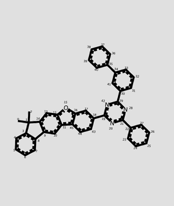 CC1(C)c2ccccc2-c2cc3c(cc21)oc1cc(-c2nc(-c4ccccc4)nc(-c4cccc(-c5ccccc5)c4)n2)ccc13